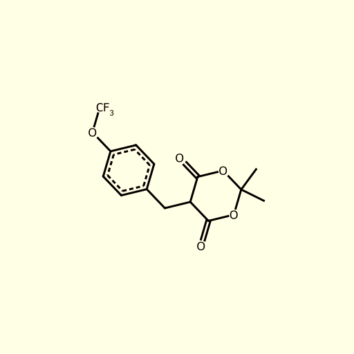 CC1(C)OC(=O)C(Cc2ccc(OC(F)(F)F)cc2)C(=O)O1